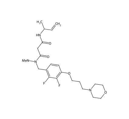 C=CC(C)NC(=O)CC(=O)N(Cc1ccc(OCCCN2CCOCC2)c(F)c1F)NC